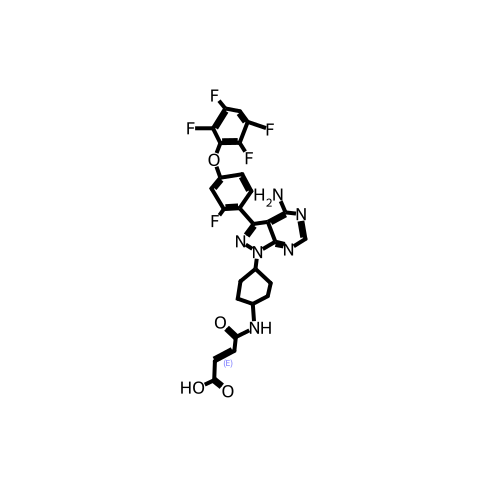 Nc1ncnc2c1c(-c1ccc(Oc3c(F)c(F)cc(F)c3F)cc1F)nn2C1CCC(NC(=O)/C=C/C(=O)O)CC1